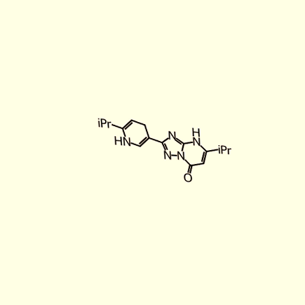 CC(C)C1=CCC(c2nc3[nH]c(C(C)C)cc(=O)n3n2)=CN1